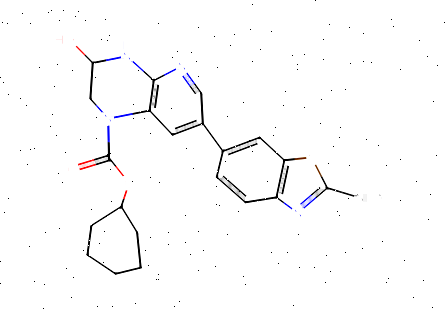 CC(=O)Nc1nc2ccc(-c3cnc4c(c3)N(C(=O)OC3CCCCC3)CC(O)N4)cc2s1